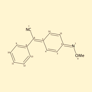 CON=C1C=CC(=C(C#N)c2ccccc2)C=C1